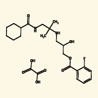 CC(C)(CNC(=O)C1CCCCC1)NCC(O)COC(=O)c1ccccc1F.O=C(O)C(=O)O